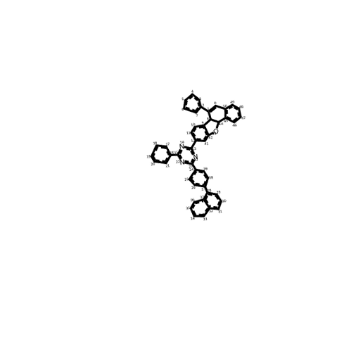 C1=C(c2ccccc2)C2c3ccc(-c4nc(-c5ccccc5)nc(-c5ccc(-c6cccc7ccccc67)cc5)n4)cc3OC2c2ccccc21